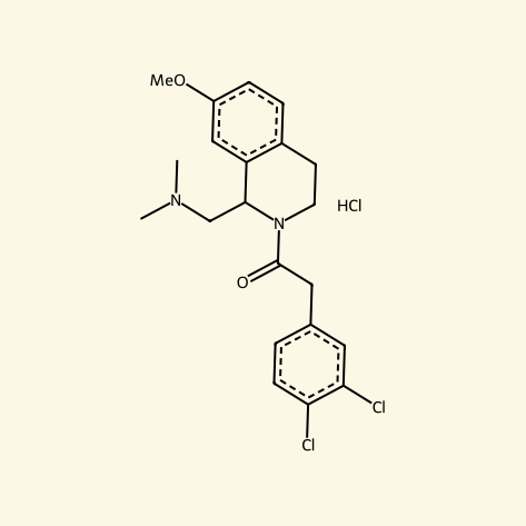 COc1ccc2c(c1)C(CN(C)C)N(C(=O)Cc1ccc(Cl)c(Cl)c1)CC2.Cl